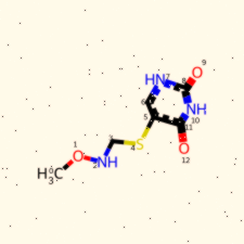 CONCSc1c[nH]c(=O)[nH]c1=O